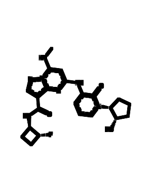 CNc1cc(Nc2cccn([C@@H]3CCC[C@@H]3O)c2=O)nc2c(C(=O)N[C@@H]3CC[C@H]3F)cnn12